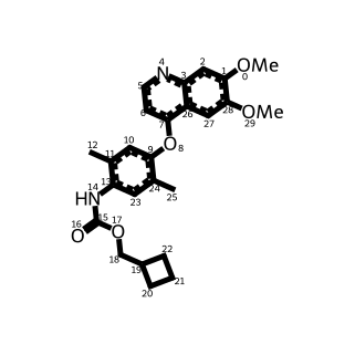 COc1cc2nccc(Oc3cc(C)c(NC(=O)OCC4CCC4)cc3C)c2cc1OC